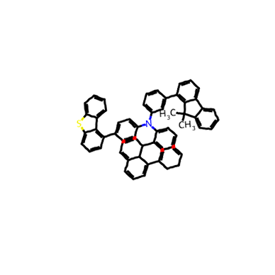 CC1(C)c2ccccc2-c2cccc(-c3cccc(N(c4ccc(-c5cccc6sc7ccccc7c56)cc4)c4ccccc4C4C=CC=C5C=CC=C(C6=CC=CCC6)C54)c3)c21